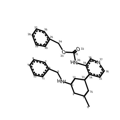 CC1CC(NCc2ccccc2)CC(c2ccncc2NC(=O)OCc2ccccc2)C1